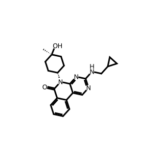 C[C@]1(O)CC[C@H](n2c(=O)c3ccccc3c3cnc(NCC4CC4)nc32)CC1